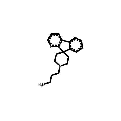 NCCCN1CCC2(CC1)c1ccccc1-c1cccnc12